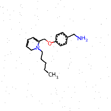 CCCCCN1CC=CC=C1COc1ccc(CN)cc1